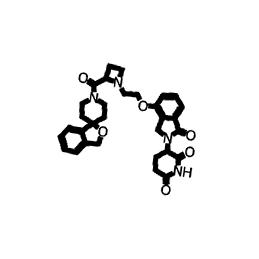 O=C1CCC(N2Cc3c(OCCN4CCC4C(=O)N4CCC5(CC4)OCc4ccccc45)cccc3C2=O)C(=O)N1